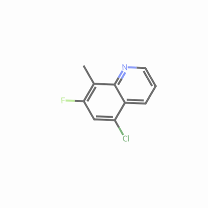 Cc1c(F)cc(Cl)c2cccnc12